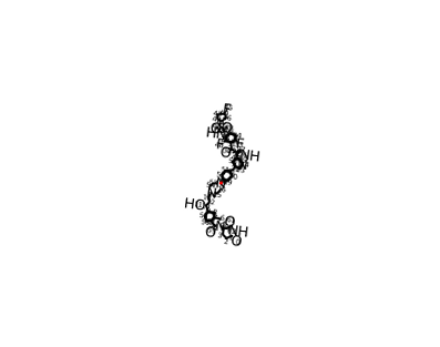 O=C1CCC(N2Cc3cc(C(O)CCN4CCN(c5ccc(-c6cnc7[nH]cc(C(=O)c8c(F)ccc(NS(=O)(=O)C9CC[C@@H](F)C9)c8F)c7c6)cc5)CC4)ccc3C2=O)C(=O)N1